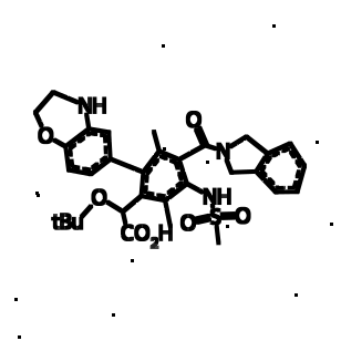 Cc1c(C(=O)N2Cc3ccccc3C2)c(NS(C)(=O)=O)c(C)c(C(OC(C)(C)C)C(=O)O)c1-c1ccc2c(c1)NCCO2